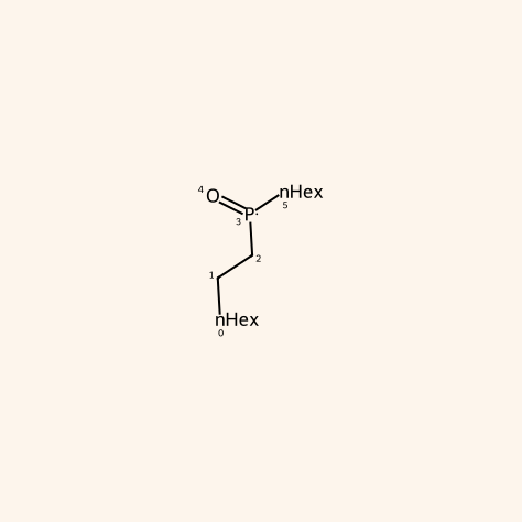 CCCCCCCC[P](=O)CCCCCC